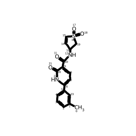 Cc1cccc(-c2ccc(C(=O)NC3C=CS(=O)(=O)C3)c(=O)[nH]2)c1